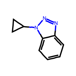 c1ccc2c(c1)nnn2C1CC1